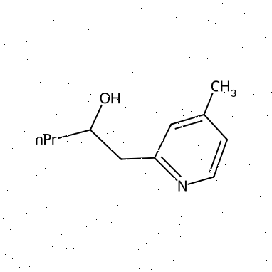 CCCC(O)Cc1cc(C)ccn1